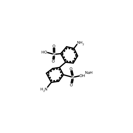 Nc1ccc(-c2ccc(N)cc2S(=O)(=O)O)c(S(=O)(=O)O)c1.[NaH]